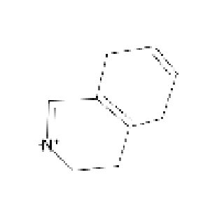 C1=CCC2=C(C=[N+]CC2)C1